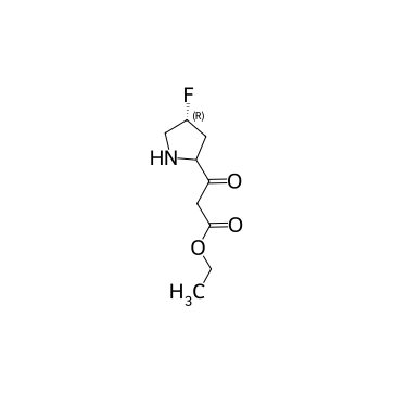 CCOC(=O)CC(=O)C1C[C@@H](F)CN1